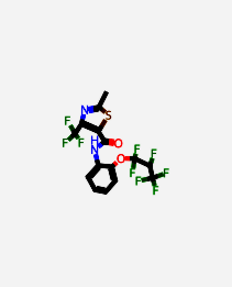 Cc1nc(C(F)(F)F)c(C(=O)Nc2ccccc2OC(F)(F)C(F)C(F)(F)F)s1